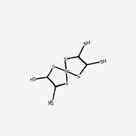 SC1S[N+]2(SC1S)SC(S)C(S)S2